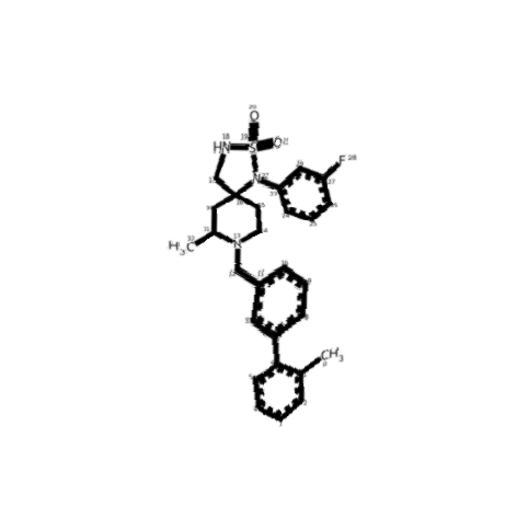 Cc1ccccc1-c1cccc(CN2CCC3(CNS(=O)(=O)N3c3cccc(F)c3)CC2C)c1